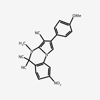 COc1ccc(-c2cn3c(c2C#N)N(C)C(C#N)(C#N)c2ccc([N+](=O)[O-])cc2-3)cc1